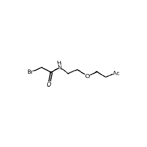 CC(=O)CCOCCNC(=O)CBr